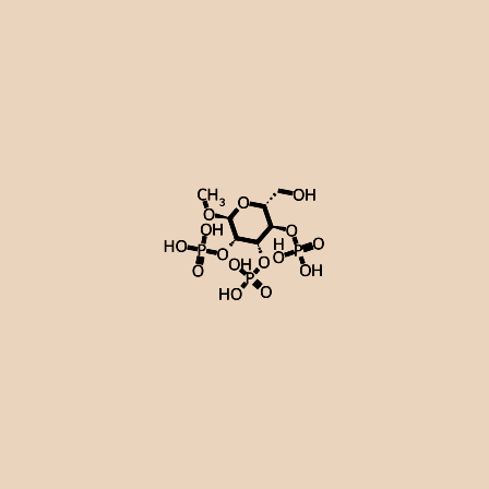 CO[C@H]1O[C@H](CO)[C@@H](OP(=O)(O)O)[C@H](OP(=O)(O)O)[C@@H]1OP(=O)(O)O